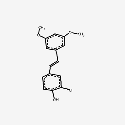 COc1cc(C=Cc2ccc(O)c(Cl)c2)cc(OC)c1